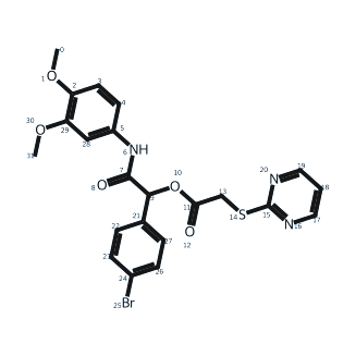 COc1ccc(NC(=O)C(OC(=O)CSc2ncccn2)c2ccc(Br)cc2)cc1OC